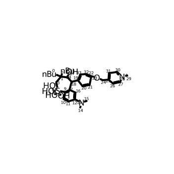 CCCCC1(CCCC)CS(O)(O)(O)(O)c2ccc(N(C)C)cc2C(c2ccc(OCc3cc[n+](C)cc3)cc2)C1O